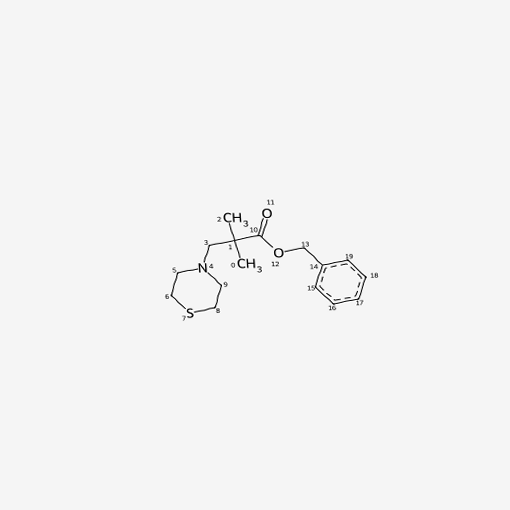 CC(C)(CN1CCSCC1)C(=O)OCc1ccccc1